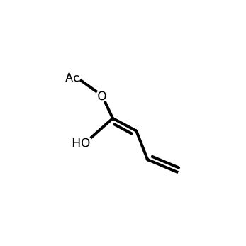 C=CC=C(O)OC(C)=O